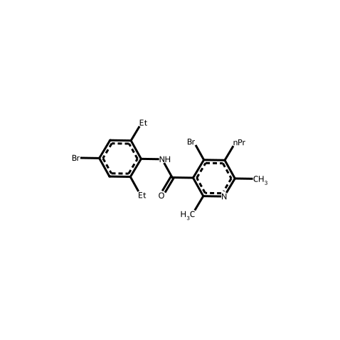 CCCc1c(C)nc(C)c(C(=O)Nc2c(CC)cc(Br)cc2CC)c1Br